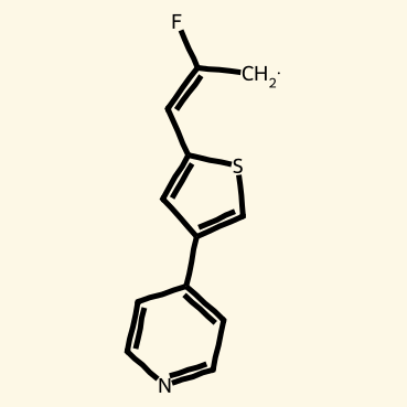 [CH2]/C(F)=C\c1cc(-c2ccncc2)cs1